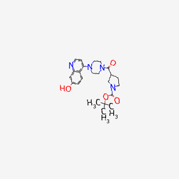 CC(C)(C)OC(=O)N1CCC(C(=O)N2CCN(c3ccnc4cc(O)ccc34)CC2)C1